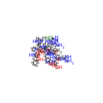 CCCCNC(=N)NC(=N)N.CC[C@H](C)[C@H](NC(=O)[C@H](Cc1ccc(O)cc1)NC(=O)[C@@H](NC(=O)[C@H](CCCNC(=N)N)NC(=O)[C@@H](N)CC(=O)O)C(C)C)C(=O)N[C@@H](Cc1cnc[nH]1)C(=O)N1CCC[C@H]1C(=O)N[C@@H](Cc1ccccc1)C(=O)O.Cl